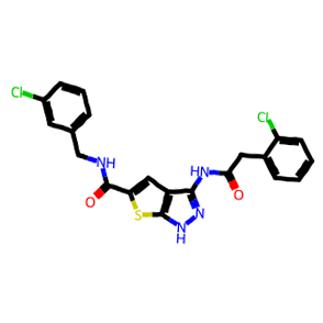 O=C(Cc1ccccc1Cl)Nc1n[nH]c2sc(C(=O)NCc3cccc(Cl)c3)cc12